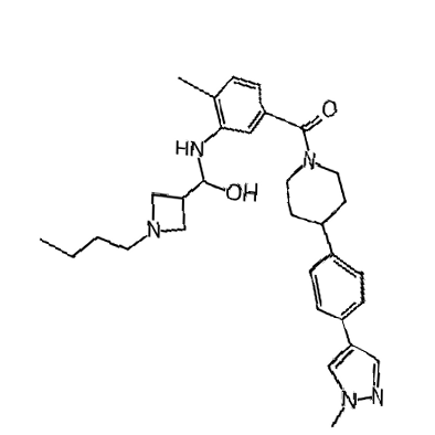 CCCCN1CC(C(O)Nc2cc(C(=O)N3CCC(c4ccc(-c5cnn(C)c5)cc4)CC3)ccc2C)C1